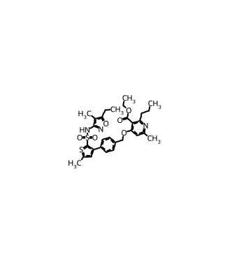 CCCc1nc(C)cc(OCc2ccc(-c3cc(C)sc3S(=O)(=O)Nc3noc(CC)c3C)cc2)c1C(=O)OCC